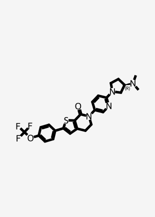 CN(C)[C@@H]1CCN(c2ccc(N3CCc4cc(-c5ccc(OC(F)(F)F)cc5)sc4C3=O)cn2)C1